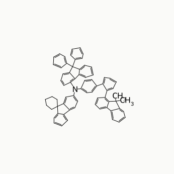 CC1(C)c2ccccc2-c2cccc(-c3ccccc3-c3ccc(N(c4ccc5c(c4)C4(CCCCC4)c4ccccc4-5)c4cccc5c4-c4ccccc4C5(c4ccccc4)c4ccccc4)cc3)c21